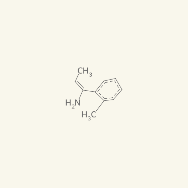 C/C=C(/N)c1ccccc1C